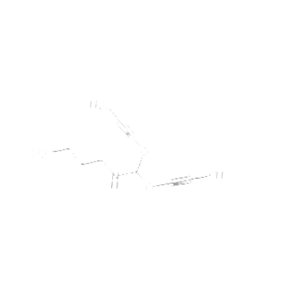 CC#COC(NCCCC)OC#CC